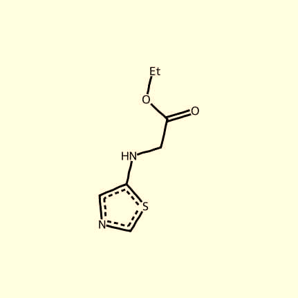 CCOC(=O)CNc1cncs1